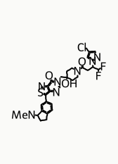 CNC1CCc2ccc(-c3snc4c(=O)n(CC5(O)CCN(C(=O)CC(C(F)F)n6cc(Cl)cn6)CC5)cnc34)cc21